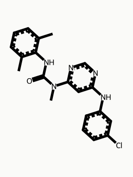 Cc1cccc(C)c1NC(=O)N(C)c1cc(Nc2cccc(Cl)c2)ncn1